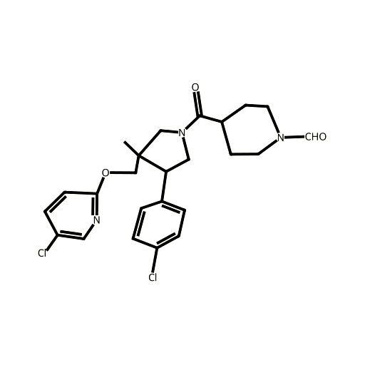 CC1(COc2ccc(Cl)cn2)CN(C(=O)C2CCN(C=O)CC2)CC1c1ccc(Cl)cc1